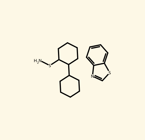 NSC1CCCCC1C1CCCCC1.c1ccc2scnc2c1